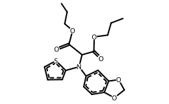 CCCOC(=O)C(C(=O)OCCC)N(c1ccc2c(c1)OCO2)c1cccs1